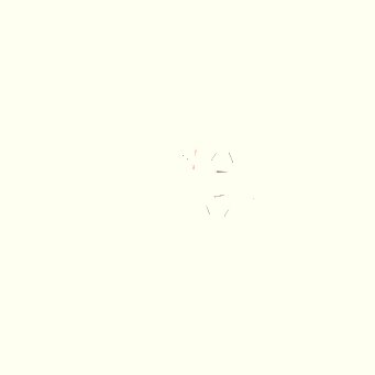 CN1Cc2c(Cl)cc(Cl)cc2C(c2cccc(S(=O)(=O)NCCOCCO)c2)C1